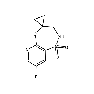 O=S1(=O)NCC2(CC2)Oc2ncc(F)cc21